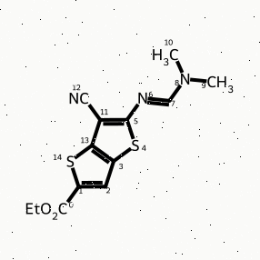 CCOC(=O)c1cc2sc(N=CN(C)C)c(C#N)c2s1